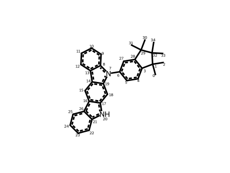 CC1(C)c2ccc(-n3c4ccccc4c4cc5c(cc43)[nH]c3ccccc35)cc2C(C)(C)C1(C)C